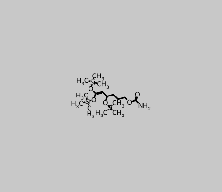 C[Si](C)(C)OC(=CC(CCCOC(N)=O)O[Si](C)(C)C)O[Si](C)(C)C